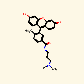 CN(C)CCCNC(=O)c1ccc(C(=O)O)c(-c2c3ccc(=O)cc-3oc3cc(O)ccc23)c1